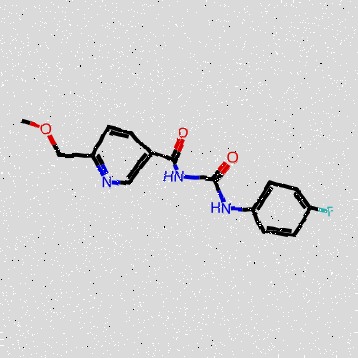 COCc1ccc(C(=O)NC(=O)Nc2ccc(F)cc2)cn1